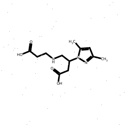 Cc1cc(C)n(C(CNCCC(=O)O)CC(=O)O)n1